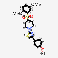 CCOc1ccc(-c2csc(N3CCC(S(=O)(=O)c4cc(OC)ccc4OC)CC3)n2)cc1